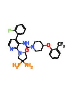 O=C(Nc1c(-c2ccccc2F)ccnc1N1CCC(P)(P)C1)N1CCC(Oc2ccccc2C(F)(F)F)CC1